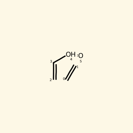 C=C.C=CO.[O]